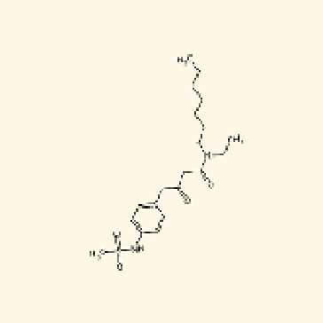 CCCCCCCN(CC)C(=O)CC(=O)Cc1ccc(NS(C)(=O)=O)cc1